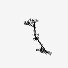 CC(C)(C)[Si](C)(C)OCCOCC(COCCO[Si](C)(C)C(C)(C)C)OCCOCCNC(=O)CCN1C(=O)CC(SCCOCCOC(COCCO[Si](C)(C)C(C)(C)C)COO[Si](C)(C)C(C)(C)C)C1=O